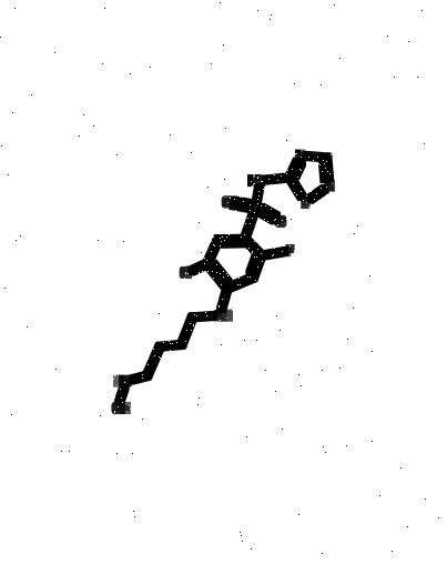 O=S(=O)(Nc1ncns1)c1cc(Cl)c(NCCCCNO)cc1F